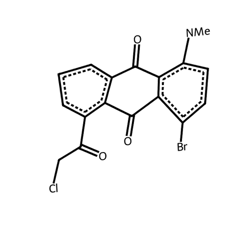 CNc1ccc(Br)c2c1C(=O)c1cccc(C(=O)CCl)c1C2=O